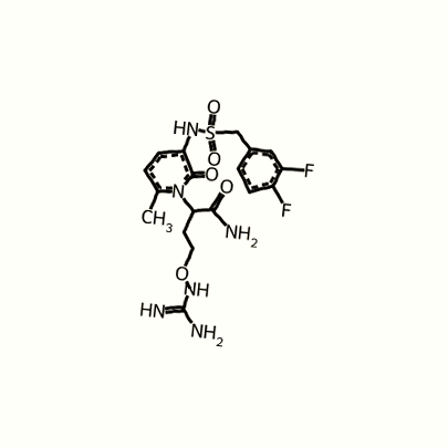 Cc1ccc(NS(=O)(=O)Cc2ccc(F)c(F)c2)c(=O)n1C(CCONC(=N)N)C(N)=O